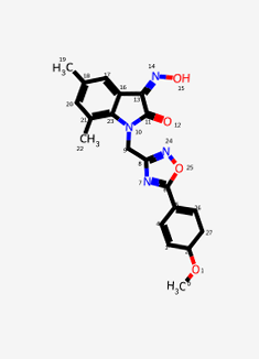 COC1C=CC(c2nc(CN3C(=O)/C(=N\O)c4cc(C)cc(C)c43)no2)=CC1